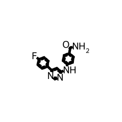 NC(=O)c1ccc(Nc2cc(-c3ccc(F)cc3)ncn2)cc1